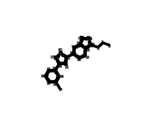 CCCn1nnc2cc(-c3nc(-c4cccc(C)c4)no3)ccc21